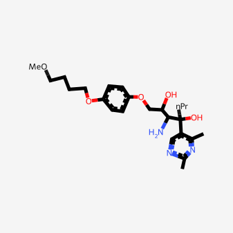 CCCC(O)(c1cnc(C)nc1C)C(N)C(O)COc1ccc(OCCCCOC)cc1